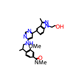 CNC(=O)c1ccc(C(C)CNc2cc(-c3ccc4c(c3)c(C)nn4CCO)ncn2)c(OC)c1